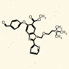 COC(=O)c1cc2c(cc1Oc1ccc(C=O)cc1)nc(-c1ccccn1)n2COCC[Si](C)(C)C